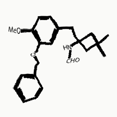 COc1ccc(CC2(NC=O)CC(C)(C)C2)cc1OCc1ccccc1